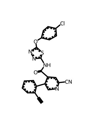 C#Cc1ccccc1-c1cnc(C#N)cc1C(=O)Nc1nnc(Oc2ccc(Cl)cc2)s1